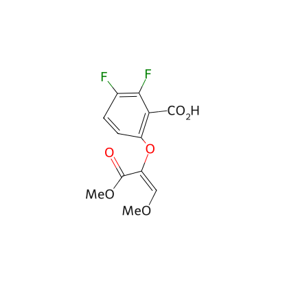 COC=C(Oc1ccc(F)c(F)c1C(=O)O)C(=O)OC